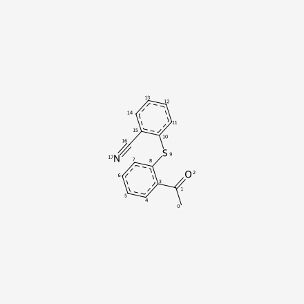 CC(=O)c1ccccc1Sc1ccccc1C#N